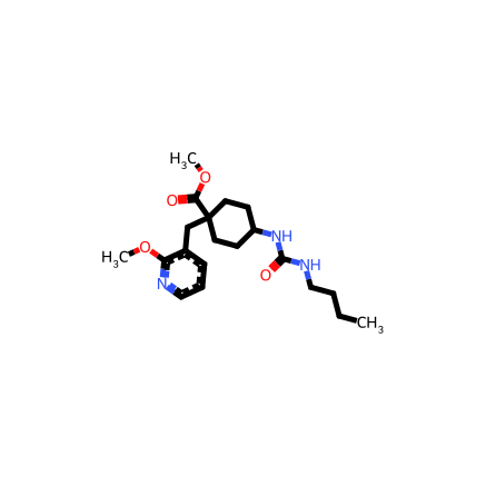 CCCCNC(=O)NC1CCC(Cc2cccnc2OC)(C(=O)OC)CC1